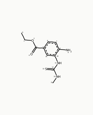 CCOC(=O)c1ccc(N)c(NC(=S)NC)c1